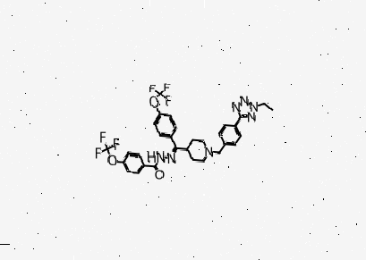 CCn1nnc(-c2ccc(CN3CCC(C(=NNC(=O)c4ccc(OC(F)(F)F)cc4)c4ccc(OC(F)(F)F)cc4)CC3)cc2)n1